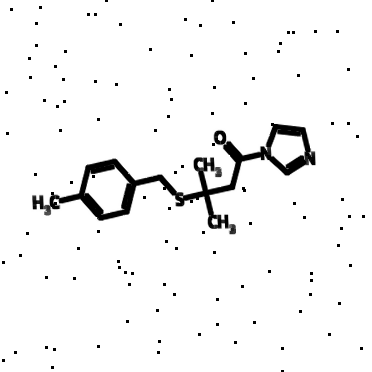 Cc1ccc(CSC(C)(C)CC(=O)n2ccnc2)cc1